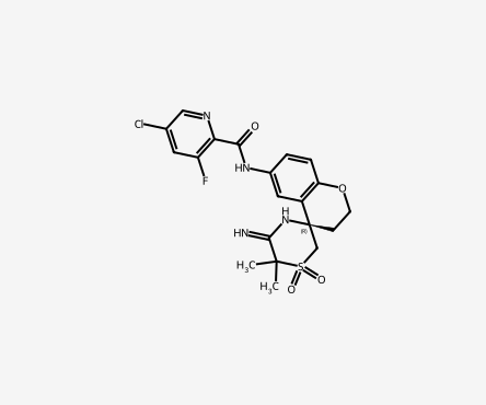 CC1(C)C(=N)N[C@@]2(CCOc3ccc(NC(=O)c4ncc(Cl)cc4F)cc32)CS1(=O)=O